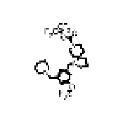 O=C(OC(C(F)(F)F)C(F)(F)F)N1CCC2(CCCN2Cc2cc(CN3CCCCC3)cc(OC(F)(F)F)c2)CC1